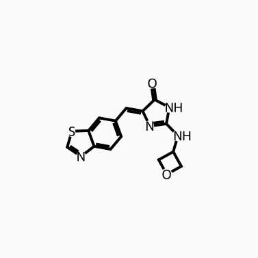 O=C1NC(NC2COC2)=N/C1=C\c1ccc2ncsc2c1